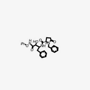 CC(C)ONC(=O)C(O)C(Cc1ccccc1)NC(=O)[C@H]1CCC(=O)N1Cc1ccccc1